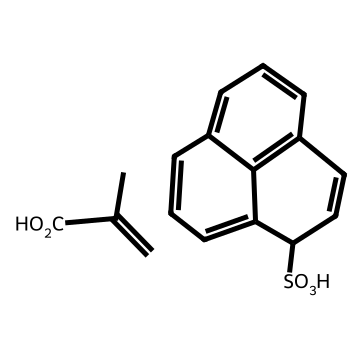 C=C(C)C(=O)O.O=S(=O)(O)C1C=Cc2cccc3cccc1c23